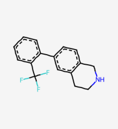 FC(F)(F)c1ccccc1-c1ccc2c(c1)CCNC2